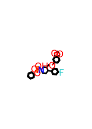 O=P(O)(Oc1ccccc1)N1CCC(c2ccc(F)cc2)C(COc2ccc3c(c2)OCO3)C1